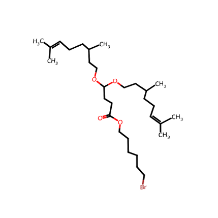 CC(C)=CCCC(C)CCOC(CCC(=O)OCCCCCCBr)OCCC(C)CCC=C(C)C